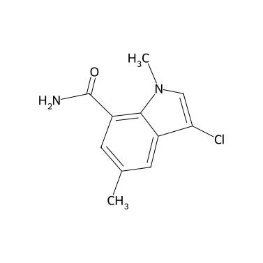 Cc1cc(C(N)=O)c2c(c1)c(Cl)cn2C